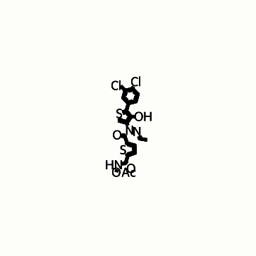 CC=NN(C(=O)c1ccc(C(=O)NOC(C)=O)s1)c1csc(-c2ccc(Cl)c(Cl)c2)c1O